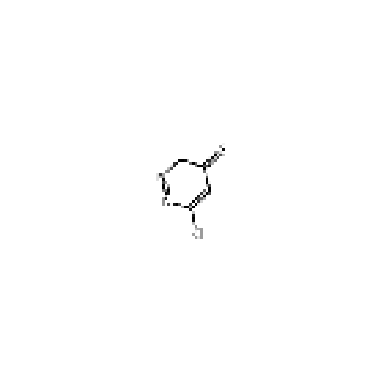 S=C1C=C(Cl)N=NC1